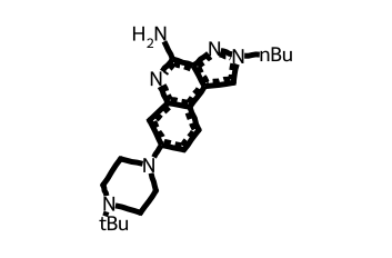 CCCCn1cc2c(n1)c(N)nc1cc(N3CCN(C(C)(C)C)CC3)ccc12